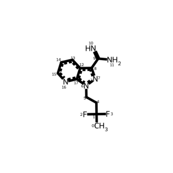 CC(F)(F)CCn1nc(C(=N)N)c2cccnc21